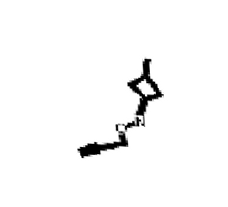 C#CCON=C1CC(C)C1